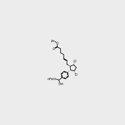 CCCCCC(O)c1ccc([C@@H]2[C@@H](CC=CCCCC(=O)OC(C)C)[C@H](Cl)C[C@@H]2Cl)cc1